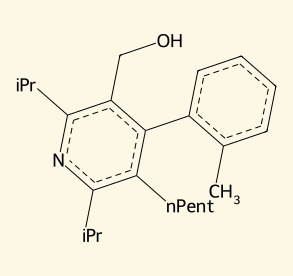 CCCCCc1c(C(C)C)nc(C(C)C)c(CO)c1-c1ccccc1C